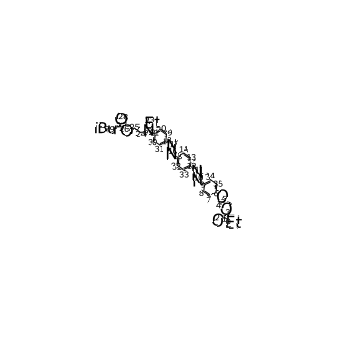 CCC(=O)OCOc1ccc(N=Nc2ccc(N=Nc3ccc(N(CC)CCOC(=O)C(C)CC)cc3)cc2)cc1